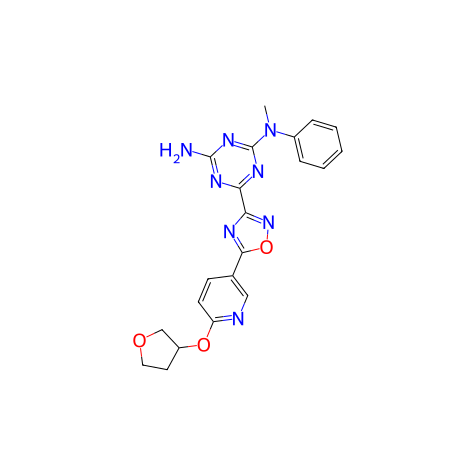 CN(c1ccccc1)c1nc(N)nc(-c2noc(-c3ccc(OC4CCOC4)nc3)n2)n1